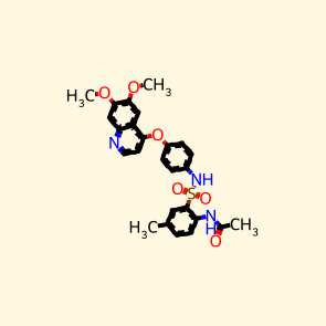 COc1cc2nccc(Oc3ccc(NS(=O)(=O)c4cc(C)ccc4NC(C)=O)cc3)c2cc1OC